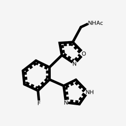 CC(=O)NCc1cc(-c2cccc(F)c2-c2c[nH]cn2)no1